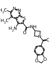 Cc1nnc2sc(C(=O)NC3CN(C(=O)c4ccc5c(c4)OCO5)C3)c(N)c2c1C